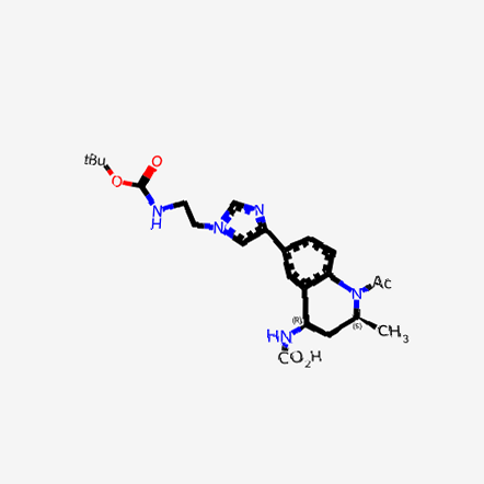 CC(=O)N1c2ccc(-c3cn(CCNC(=O)OC(C)(C)C)cn3)cc2[C@H](NC(=O)O)C[C@@H]1C